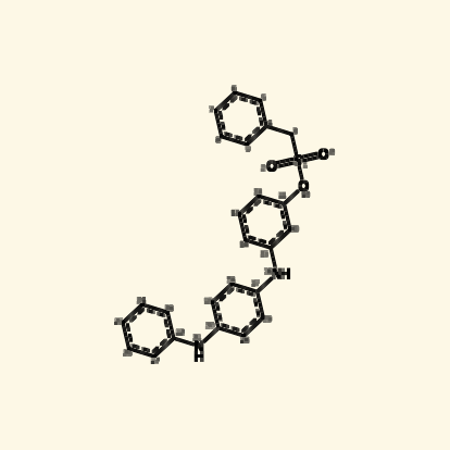 O=S(=O)(Cc1ccccc1)Oc1cccc(Nc2ccc(Nc3ccccc3)cc2)c1